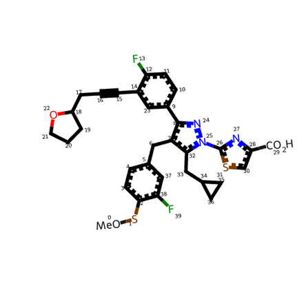 COSc1ccc(Cc2c(-c3ccc(F)c(C#CCC4CCCO4)c3)nn(-c3nc(C(=O)O)cs3)c2CC2CC2)cc1F